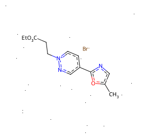 CCOC(=O)CC[n+]1ccc(-c2ncc(C)o2)cn1.[Br-]